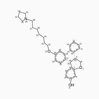 Oc1ccc2c(c1)OC[C@@H](c1ccccc1)[C@H]2c1ccc(OCCCCCCCN2CCCC2)cc1